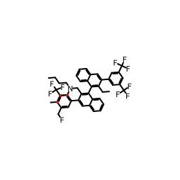 CCCCN(CCCC)Cc1c(-c2cc(CF)cc(C(F)(F)F)c2)cc2ccccc2c1-c1c(CC)c(-c2cc(C(F)(F)F)cc(C(F)(F)F)c2)cc2ccccc12